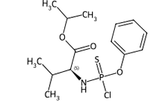 CC(C)OC(=O)[C@@H](NP(=S)(Cl)Oc1ccccc1)C(C)C